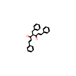 O=C(C=Cc1ccccc1)C(Cc1ccccc1)C(=O)C=Cc1ccccc1